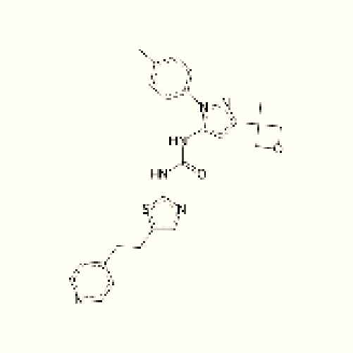 Cc1ccc(-n2nc(C3(C)COC3)cc2NC(=O)Nc2ncc(CCc3ccncc3)s2)cc1